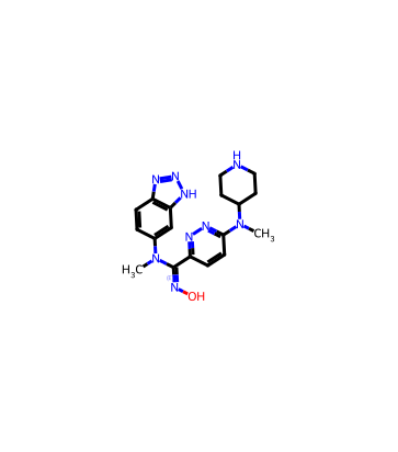 CN(/C(=N/O)c1ccc(N(C)C2CCNCC2)nn1)c1ccc2nn[nH]c2c1